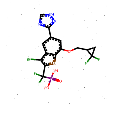 O=P(O)(O)C(F)(F)c1sc2c(OCC3CC3(F)F)cc(-c3nc[nH]n3)cc2c1Br